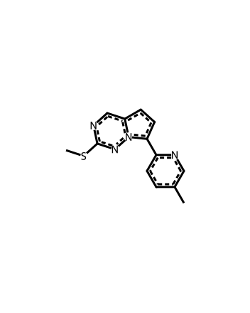 CSc1ncc2ccc(-c3ccc(C)cn3)n2n1